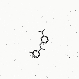 Cc1cc(C(C)Cc2cccc(C(C)C)c2)ccn1